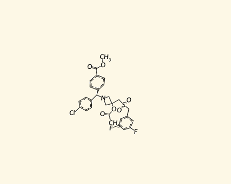 COC(=O)c1ccc([C@H](c2ccc(Cl)cc2)N2CC(CS(=O)(=O)Cc3cc(F)cc(F)c3)(OC(C)=O)C2)cc1